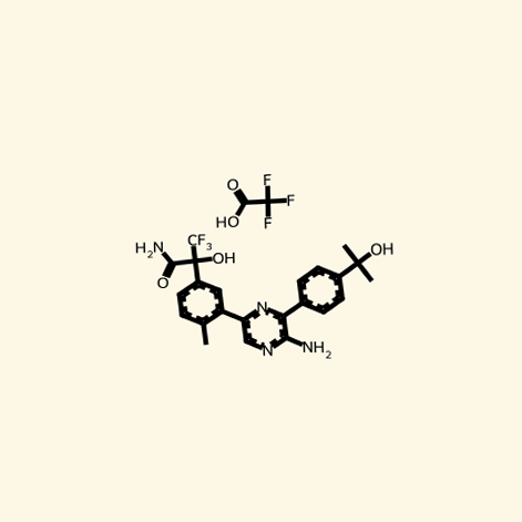 Cc1ccc(C(O)(C(N)=O)C(F)(F)F)cc1-c1cnc(N)c(-c2ccc(C(C)(C)O)cc2)n1.O=C(O)C(F)(F)F